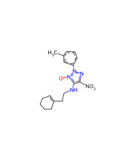 Cc1cccc(-n2nc([N+](=O)[O-])c(NCCC3=CCCCC3)[n+]2[O-])c1